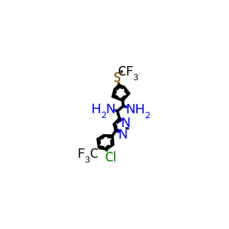 NC(c1ccc(SC(F)(F)F)cc1)C(N)c1cc(-c2ccc(C(F)(F)F)c(Cl)c2)ncn1